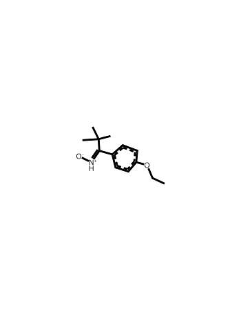 CCOc1ccc(C(=[NH+][O-])C(C)(C)C)cc1